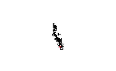 C=C(CCNC(=O)CO[C@H]1C[C@@H](n2cc(F)cn2)C1)n1cnc(-c2ccc(Cl)c(F)c2)c1